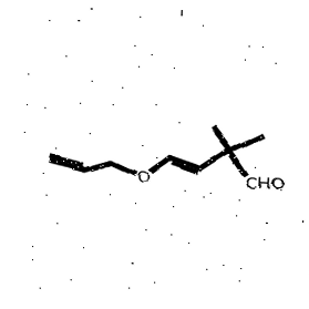 C=CCOC=CC(C)(C)C=O